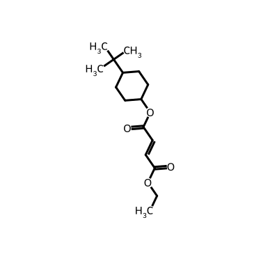 CCOC(=O)/C=C/C(=O)OC1CCC(C(C)(C)C)CC1